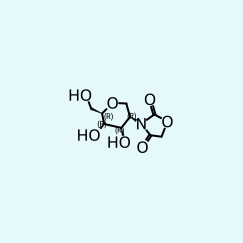 O=C1COC(=O)N1[C@@H]1CO[C@H](CO)[C@H](O)[C@@H]1O